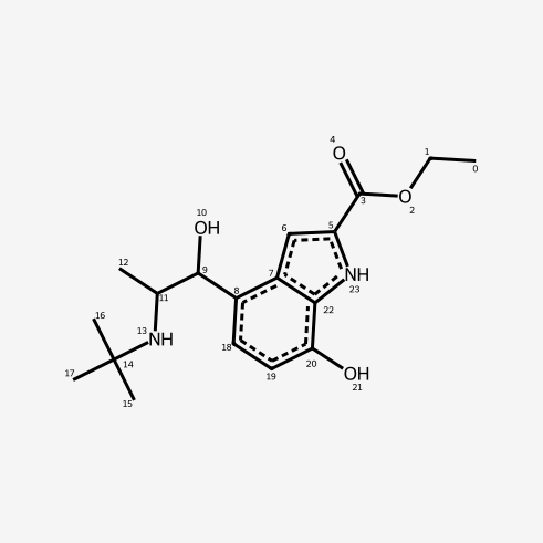 CCOC(=O)c1cc2c(C(O)C(C)NC(C)(C)C)ccc(O)c2[nH]1